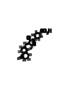 CC1=NN(c2ccc(S(=O)(=O)O)cc2)C(=O)C1=Cc1ccc2c(c1)CCCN2C